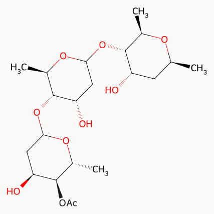 CC(=O)O[C@H]1[C@@H](O)CC(O[C@H]2[C@@H](O)CC(O[C@H]3[C@@H](O)C[C@H](C)O[C@@H]3C)O[C@@H]2C)O[C@@H]1C